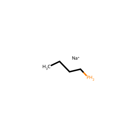 CCCCP.[Na+]